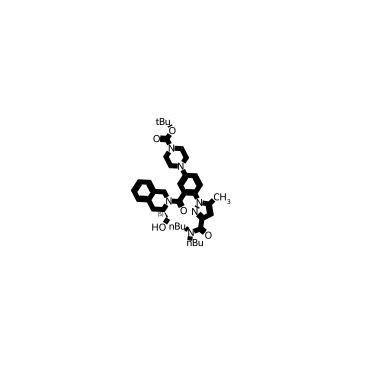 CCCCN(CCCC)C(=O)c1cc(C)n(-c2ccc(N3CCN(C(=O)OC(C)(C)C)CC3)cc2C(=O)N2Cc3ccccc3C[C@H]2CO)n1